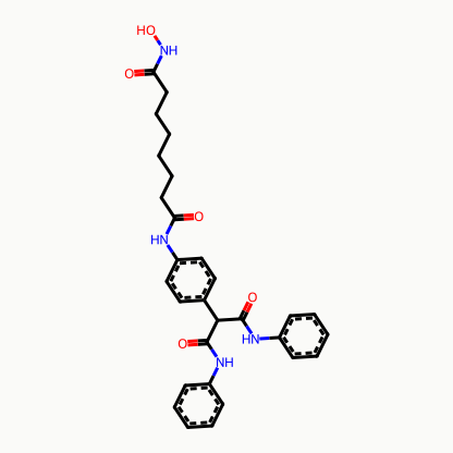 O=C(CCCCCCC(=O)Nc1ccc(C(C(=O)Nc2ccccc2)C(=O)Nc2ccccc2)cc1)NO